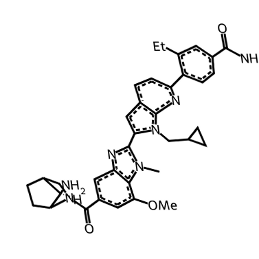 CCc1cc(C(N)=O)ccc1-c1ccc2cc(-c3nc4cc(C(=O)N5CC6CCC5[C@@H]6N)cc(OC)c4n3C)n(CC3CC3)c2n1